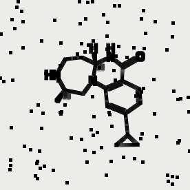 C[C@@H]1CN2c3cc(C4CC4)ccc3C(=O)N[C@H]2CCN1